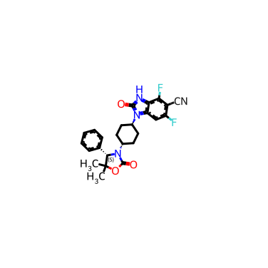 CC1(C)OC(=O)N([C@H]2CC[C@H](n3c(=O)[nH]c4c(F)c(C#N)c(F)cc43)CC2)[C@H]1c1ccccc1